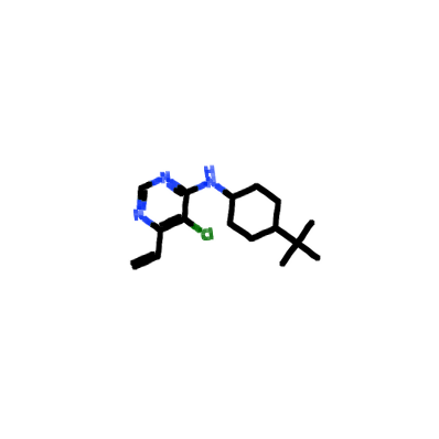 C=Cc1ncnc(NC2CCC(C(C)(C)C)CC2)c1Cl